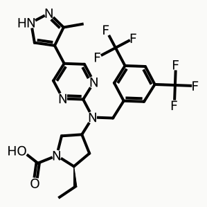 CC[C@@H]1CC(N(Cc2cc(C(F)(F)F)cc(C(F)(F)F)c2)c2ncc(-c3c[nH]nc3C)cn2)CN1C(=O)O